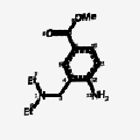 CCN(CC)Cc1cc(C(=O)OC)ccc1N